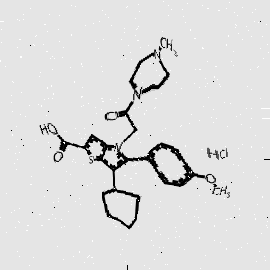 COc1ccc(-c2c(C3CCCCC3)c3sc(C(=O)O)cc3n2CC(=O)N2CCN(C)CC2)cc1.Cl